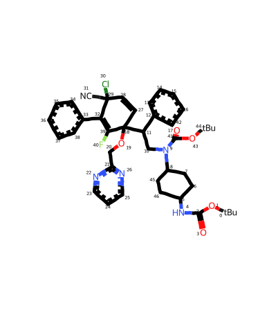 CC(C)(C)OC(=O)NC1CCC(N(CC(c2ccccc2)C2(OCc3ncccn3)C=CC(Cl)(C#N)C(c3ccccc3)=C2F)C(=O)OC(C)(C)C)CC1